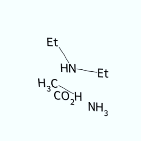 CC(=O)O.CCNCC.N